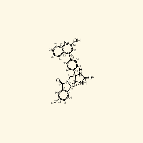 O=C1NC(=O)[C@](CN2Cc3ccc(F)cc3C2=O)(c2ccc(-c3cc(O)nc4ccccc34)cc2)N1